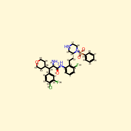 NC(C(=O)Nc1cccc(F)c1CC[C@@H]1CNCCN1S(=O)(=O)c1ccccc1)C(c1ccc(Cl)c(F)c1)C1CCOCC1